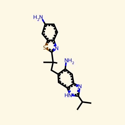 CC(C)c1nc2cc(N)c(CC(C)(C)c3nc4ccc(N)cc4s3)cc2[nH]1